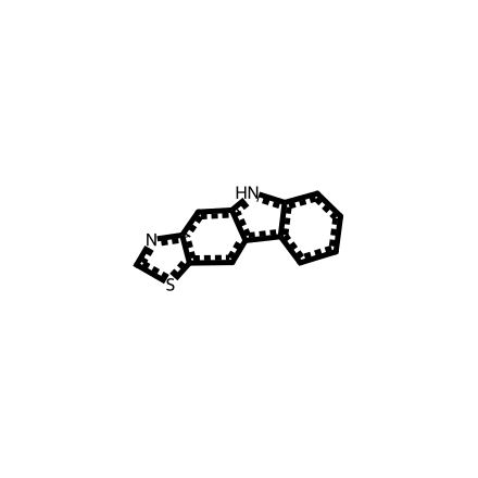 c1ccc2c(c1)[nH]c1cc3ncsc3cc12